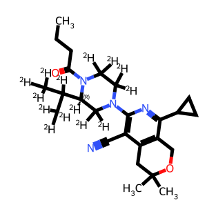 [2H]C([2H])([2H])C([2H])(C([2H])([2H])[2H])[C@@]1([2H])N(C(=O)CCC)C([2H])([2H])C([2H])([2H])N(c2nc(C3CC3)c3c(c2C#N)CC(C)(C)OC3)C1([2H])[2H]